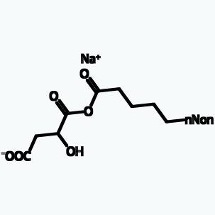 CCCCCCCCCCCCCC(=O)OC(=O)C(O)CC(=O)[O-].[Na+]